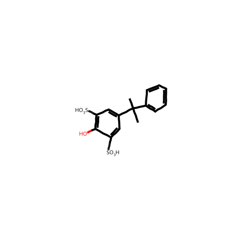 CC(C)(c1ccccc1)c1cc(S(=O)(=O)O)c(O)c(S(=O)(=O)O)c1